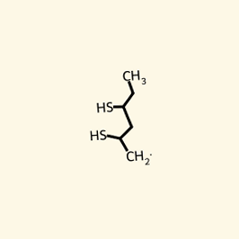 [CH2]C(S)CC(S)CC